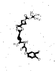 C=C(CCc1nnc(C2CN(C(=O)OC(C)(C)C)C2)o1)NC(=O)COc1ccc(Cl)c(F)c1